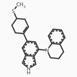 CSC1CC=C(c2cc(N3CCCc4ccccc43)c3c[nH]cc3c2)CC1